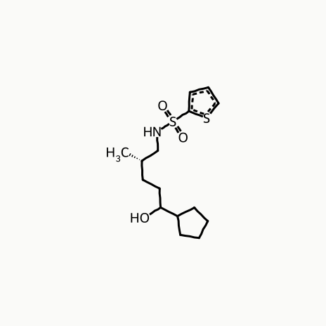 C[C@@H](CCC(O)C1CCCC1)CNS(=O)(=O)c1cccs1